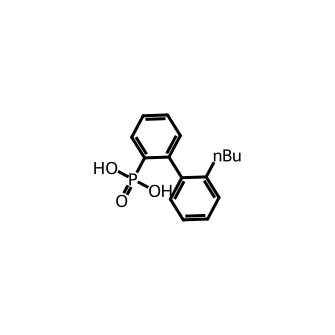 CCCCc1ccccc1-c1ccccc1P(=O)(O)O